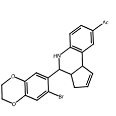 CC(=O)c1ccc2c(c1)C1C=CCC1C(c1cc3c(cc1Br)OCCO3)N2